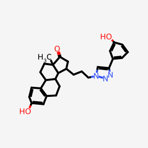 CC12CCC3c4ccc(O)cc4CCC3C1C(CCCn1cc(-c3cccc(O)c3)nn1)CC2=O